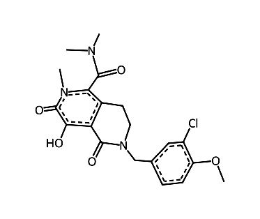 COc1ccc(CN2CCc3c(c(O)c(=O)n(C)c3C(=O)N(C)C)C2=O)cc1Cl